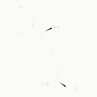 CC(C)OC(=O)[C@@H](N)CSSC[C@H](N)C(=O)O